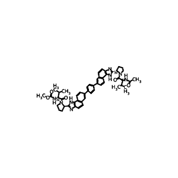 COC(=O)N[C@H](C(=O)N1CCCC1c1nc2ccc3cc(-c4ccc(-c5ccc6c(ccc7nc([C@@H]8CCCN8C(=O)[C@@H](NC(C)=O)C(C)C)[nH]c76)c5)cc4)ccc3c2[nH]1)C(C)C